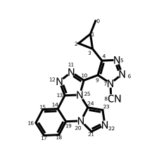 CC1CC1c1nnn(C#N)c1-c1nnc2c3ccccc3n3cncc3n12